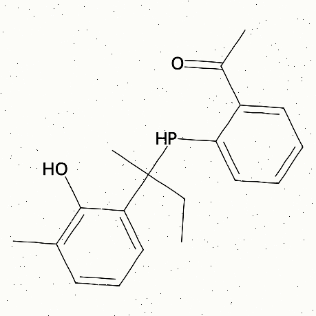 CCC(C)(Pc1ccccc1C(C)=O)c1cccc(C)c1O